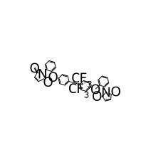 O=C1C=CC(=O)N1c1ccccc1Oc1ccc(C(c2ccc(Oc3ccccc3N3C(=O)C=CC3=O)cc2)(C(F)(F)F)C(F)(F)F)cc1